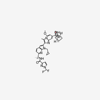 COc1cc(C(=O)N2[C@H]3CC[C@@H]2[C@H](N)C3)cc2nc(-c3cc4ccc([C@@H](C)NC(=O)c5ccn(C(F)F)n5)nc4n3CC3CC3)c(C)n12